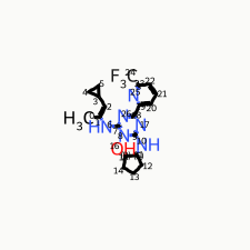 CC(=CC1CC1)Nc1nc(N[C@H]2CCC[C@H]2O)nc(-c2cccc(C(F)(F)F)n2)n1